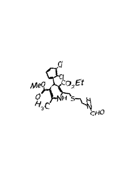 CCOC(=O)C1=C(CSCCNC=O)NC(C)=C(C(=O)OC)C1c1cccc(Cl)c1Cl